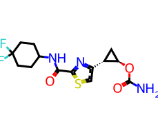 NC(=O)O[C@@H]1C[C@H]1c1csc(C(=O)NC2CCC(F)(F)CC2)n1